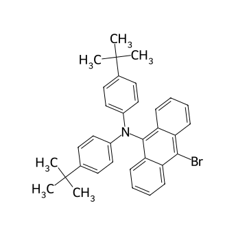 CC(C)(C)c1ccc(N(c2ccc(C(C)(C)C)cc2)c2c3ccccc3c(Br)c3ccccc23)cc1